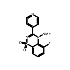 CNN1C(c2ccncc2)=NS(=O)(=O)c2cccc(F)c21